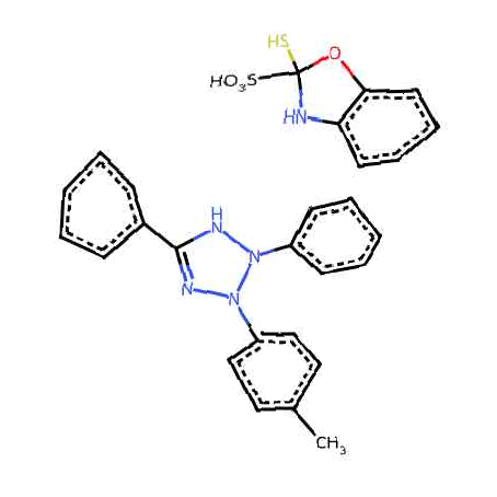 Cc1ccc(N2N=C(c3ccccc3)NN2c2ccccc2)cc1.O=S(=O)(O)C1(S)Nc2ccccc2O1